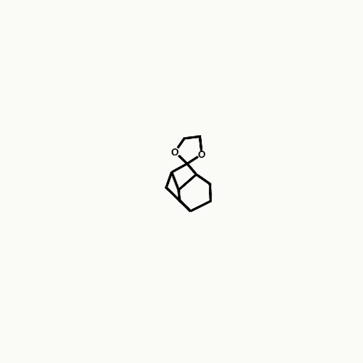 C1COC2(O1)C1CCC3CC1C2C3